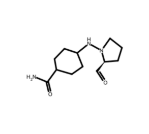 NC(=O)C1CCC(NN2CCC[C@H]2C=O)CC1